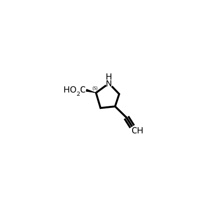 C#CC1CN[C@H](C(=O)O)C1